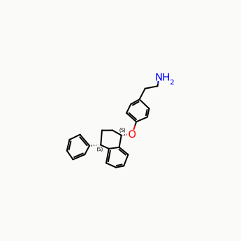 NCCc1ccc(O[C@H]2CC[C@@H](c3ccccc3)c3ccccc32)cc1